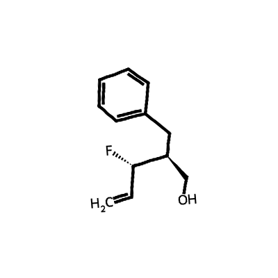 C=C[C@H](F)[C@H](CO)Cc1ccccc1